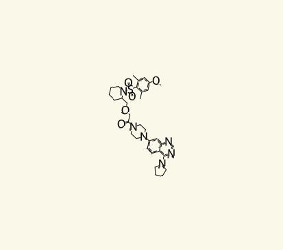 COc1cc(C)c(S(=O)(=O)N2CCCCC2COCC(=O)N2CCN(c3ccc4c(N5CCCC5)ncnc4c3)CC2)c(C)c1